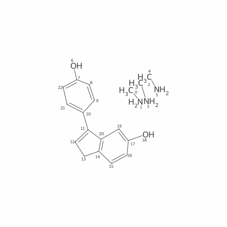 CN.CN.CN.Oc1ccc(C2=CCc3ccc(O)cc32)cc1